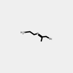 CC(=O)C/C(C)=N/CCN